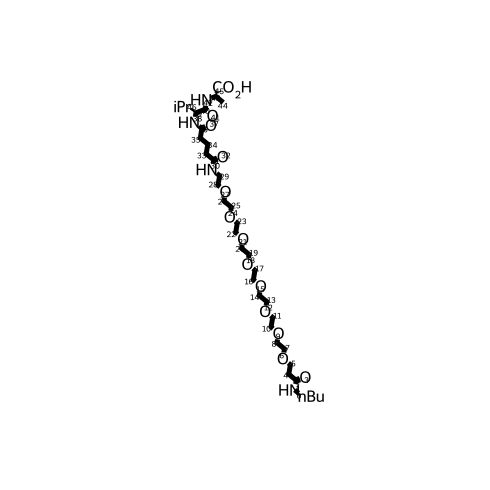 CCCCNC(=O)CCOCCOCCOCCOCCOCCOCCOCCOCCNC(=O)CCCC(=O)N[C@H](C(=O)N[C@@H](C)C(=O)O)C(C)C